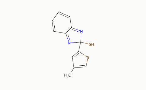 Cc1csc(C2(S)N=c3ccccc3=N2)c1